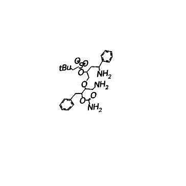 CC(C)(C)CS(=O)(=O)OC(COC(CN)C(Cc1ccccc1)OC(N)=O)CC(N)c1ccccc1